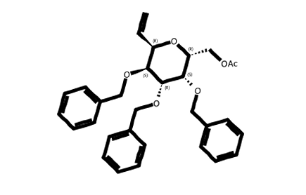 C=C[C@H]1O[C@H](COC(C)=O)[C@H](OCc2ccccc2)[C@H](OCc2ccccc2)[C@H]1OCc1ccccc1